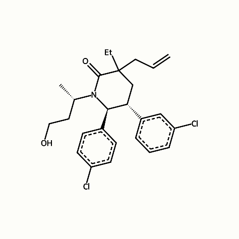 C=CCC1(CC)C[C@H](c2cccc(Cl)c2)[C@@H](c2ccc(Cl)cc2)N([C@@H](C)CCO)C1=O